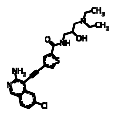 CCN(CC)CC(O)CNC(=O)c1cc(C#Cc2c(N)ncc3ccc(Cl)cc23)cs1